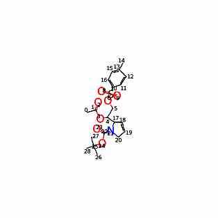 CC(=O)OC(COS(=O)(=O)c1ccc(C)cc1)C1C=CCN1C(=O)OC(C)(C)C